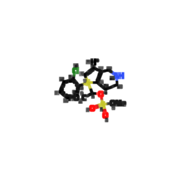 COS(=O)(=O)OC(C(=O)O)S1(c2ccccc2Cl)C=CC2=C1CCNC2.[H+]